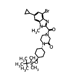 Cn1c(C(=O)N2CCN([C@H]3CC[C@H](O[Si](C)(C)C(C)(C)C)CC3)C(=O)C2)nc2c(Br)cc(C3CC3)cc21